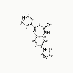 O=C1CC(c2ccnnc2)=Nc2ccc(-n3ccnc3)cc2N1